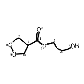 O=C(OCCO)C1COOC1